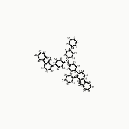 c1ccc(-c2ccc(N(c3ccc(-c4ccc5c(sc6ccccc65)c4-c4ccccc4)cc3)c3ccc(-c4cccc5c4oc4ccccc45)cc3)cc2)cc1